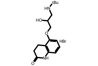 Br.CC(C)(C)NCC(O)COc1cccc2c1CCC(=O)N2